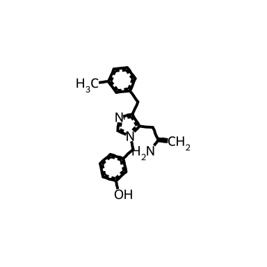 C=C(N)Cc1c(Cc2cccc(C)c2)ncn1Cc1cccc(O)c1